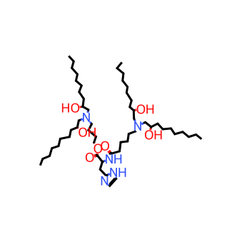 CCCCCCCCC(O)CN(CCCCCC(=O)NC(Cc1ncc[nH]1)C(=O)OCCCCN(CC(O)CCCCCCCC)CC(O)CCCCCCCC)CC(O)CCCCCCCC